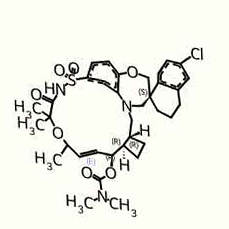 CC1/C=C/[C@H](OC(=O)N(C)C)[C@@H]2CC[C@H]2CN2C[C@@]3(CCCc4cc(Cl)ccc43)COc3ccc(cc32)S(=O)(=O)NC(=O)C(C)(C)O1